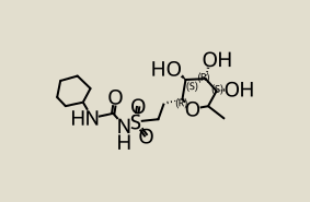 CC1O[C@H](CCS(=O)(=O)NC(=O)NC2CCCCC2)[C@@H](O)[C@H](O)[C@@H]1O